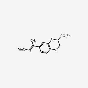 CCOC(=O)C1COc2ccc(/C(C)=N/OC)cc2O1